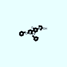 O[C@@H]1CCN(c2cc(F)c(-c3ccc(OCc4ccccc4)nc3OCc3ccccc3)c(F)c2)C1